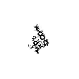 COc1cc(C)c(S(=O)(=O)N(CCOc2nccc(N3CCC4(CCC(N5CC(F)(F)C5)CC4)CC3)n2)C2CC2)c(C)c1